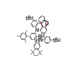 Cc1cc(C)c(-c2cc(-c3cc4c(cc3Nc3ccc(C(C)(C)C)cc3)C(C)(C)CCC4(C)C)c3c(c2)N(c2ccc(C(C)(C)C)cc2-c2ccccc2)c2c(ccc4oc5ccccc5c24)B3)c(C)c1